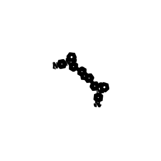 CN(C)c1ccc(N2c3ccc(-c4ccc5c(c4)Cc4cc(-c6ccc7c(c6)C6(C)CCCCC6(C)N7c6ccc(N(C)C)cc6)ccc4-5)cc3C3(C)CCCCC23C)cc1